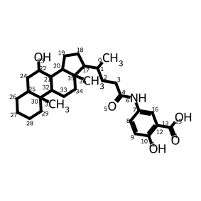 CC(CCC(=O)Nc1ccc(O)c(C(=O)O)c1)C1CCC2C3C(O)CC4CCCCC4(C)C3CCC12C